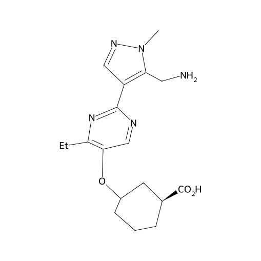 CCc1nc(-c2cnn(C)c2CN)ncc1OC1CCC[C@H](C(=O)O)C1